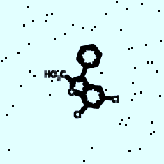 O=C(O)c1oc2c(Cl)cc(Cl)cc2c1-c1ccccc1